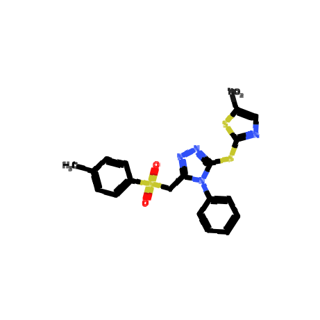 Cc1ccc(S(=O)(=O)Cc2nnc(Sc3ncc([N+](=O)[O-])s3)n2-c2ccccc2)cc1